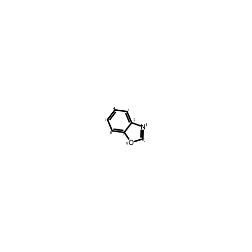 [c]1nc2[c]cccc2o1